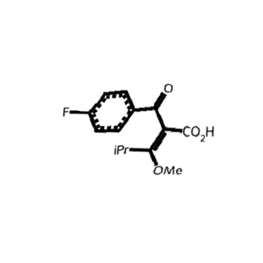 COC(=C(C(=O)O)C(=O)c1ccc(F)cc1)C(C)C